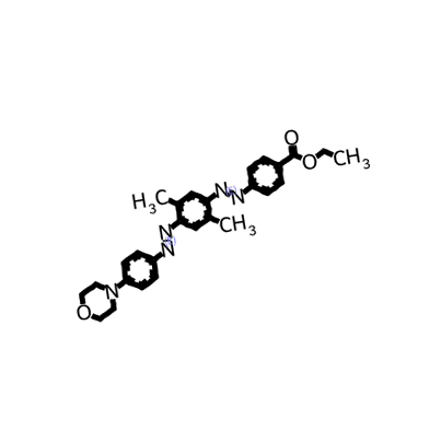 CCOC(=O)c1ccc(/N=N/c2cc(C)c(/N=N/c3ccc(N4CCOCC4)cc3)cc2C)cc1